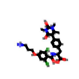 Cc1c(-c2ccc(CC(NC(=O)c3c(Cl)cc(OCCCN)cc3Cl)C(=O)O)cc2)c(=O)n(C)c(=O)n1C